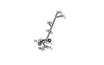 CC[N+](CC)(CC)CCC[N+]1=C(/C=C/C=C2/N(CCCCCC(=O)NCCCN(CCCN)CCCCCCCCN(CCCN)CCCN)c3ccccc3C2(C)C)C(C)(C)c2ccccc21